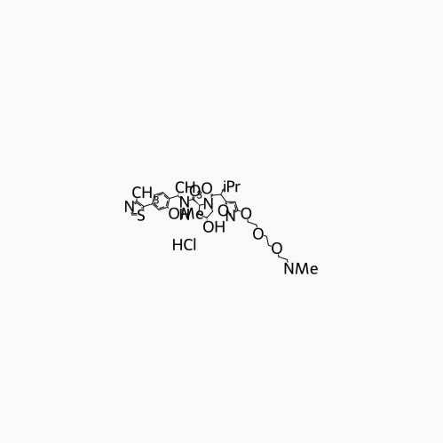 CNCCOCCOCCOc1cc([C@@H](C(=O)N2C[C@H](O)C[C@H]2C(=O)N[C@@H](C)c2ccc(-c3scnc3C)cc2OC)C(C)C)on1.Cl